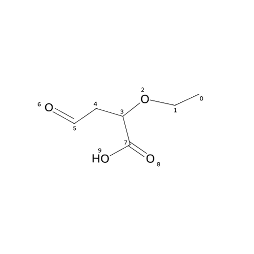 CCOC(CC=O)C(=O)O